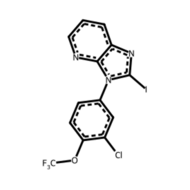 FC(F)(F)Oc1ccc(-n2c(I)nc3cccnc32)cc1Cl